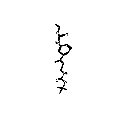 CCOC(=O)Nc1cccc(C(C)CCNC(=O)OC(C)(C)C)c1